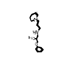 OC(CNCCCN1C[CH]CCC1)COc1ccccc1